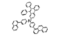 c1ccc(-c2c(-c3ccccc3)c3cc(N(c4ccc(-c5cccc6ccccc56)cc4)c4ccc(-c5cccc6c5ccc5ccccc56)cc4)ccc3c3ccccc23)cc1